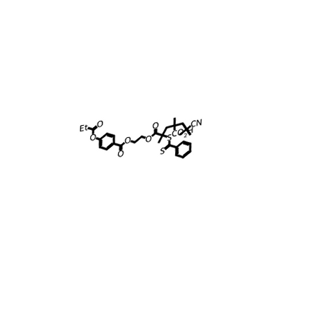 CCC(=O)Oc1ccc(C(=O)OCCOC(=O)C(C)(CC(C)(CC(C)(C)C#N)C(=O)O)SC(=S)c2ccccc2)cc1